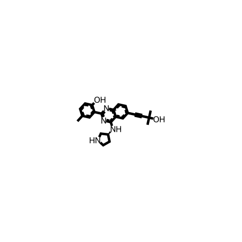 Cc1ccc(O)c(-c2nc(N[C@H]3CCNC3)c3cc(C#CC(C)(C)O)ccc3n2)c1